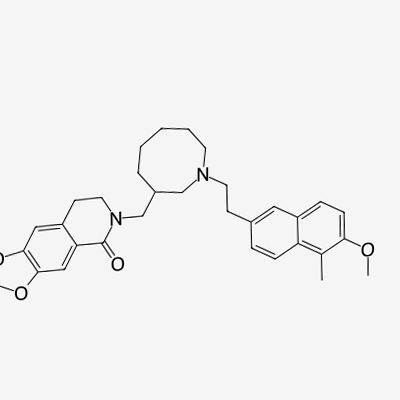 COc1ccc2cc(CCN3CCCCCC(CN4CCc5cc6c(cc5C4=O)OCO6)C3)ccc2c1C